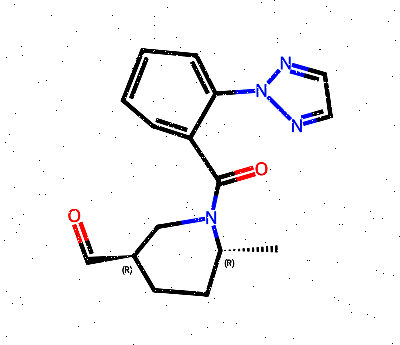 C[C@@H]1CC[C@@H](C=O)CN1C(=O)c1ccccc1-n1nccn1